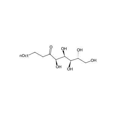 CCCCCCCCCCC(=O)[C@H](O)[C@@H](O)[C@H](O)[C@H](O)CO